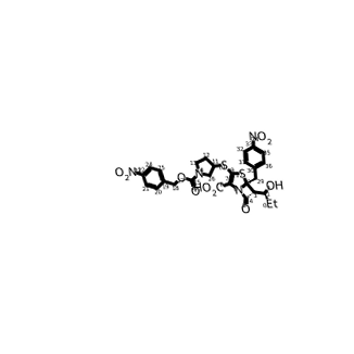 CC[C@H](O)[C@@H]1C(=O)N2C(C(=O)O)=C(SC3CCN(C(=O)OCc4ccc([N+](=O)[O-])cc4)C3)S[C@]12Cc1ccc([N+](=O)[O-])cc1